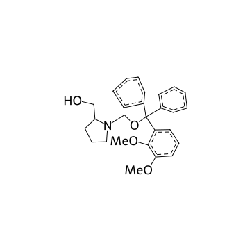 COc1cccc(C(OCN2CCCC2CO)(c2ccccc2)c2ccccc2)c1OC